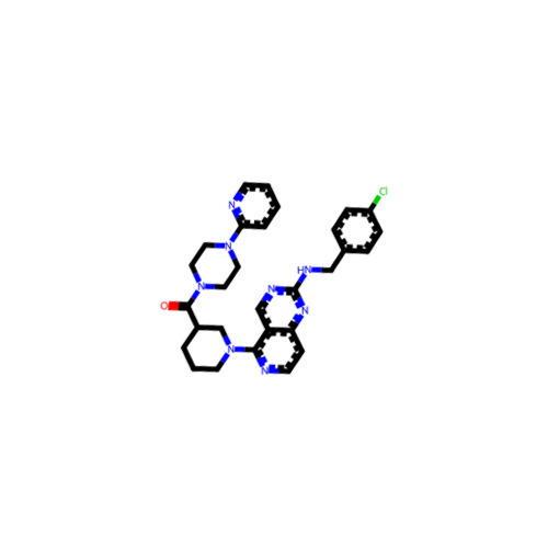 O=C(C1CCCN(c2nccc3nc(NCc4ccc(Cl)cc4)ncc23)C1)N1CCN(c2ccccn2)CC1